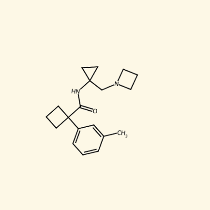 Cc1cccc(C2(C(=O)NC3(CN4CCC4)CC3)CCC2)c1